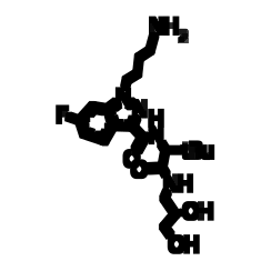 CC(C)(C)C(NC(=O)c1nn(CCCCN)c2cc(F)ccc12)C(=O)NC[C@@H](O)CO